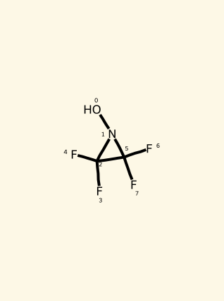 ON1C(F)(F)C1(F)F